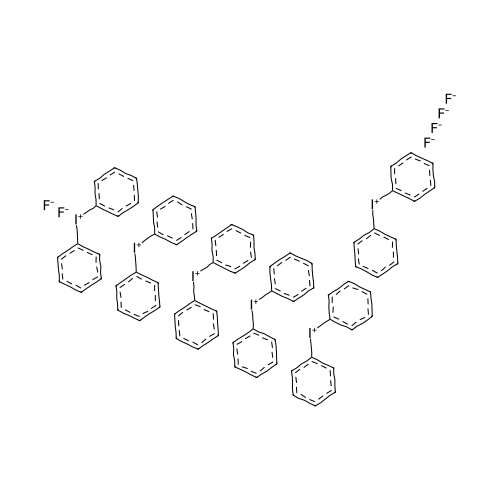 [F-].[F-].[F-].[F-].[F-].[F-].c1ccc([I+]c2ccccc2)cc1.c1ccc([I+]c2ccccc2)cc1.c1ccc([I+]c2ccccc2)cc1.c1ccc([I+]c2ccccc2)cc1.c1ccc([I+]c2ccccc2)cc1.c1ccc([I+]c2ccccc2)cc1